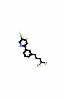 CCC(Br)CCCc1cccc(-c2ccc(Br)cn2)c1